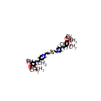 COc1cc(/C=C(\C)c2cc[n+](CCSSCC[n+]3ccc(/C(C)=C/c4cc(OC)c(OC)c(OC)c4)cc3)cc2)cc(OC)c1OC